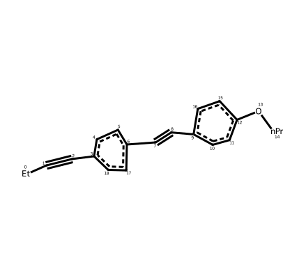 CCC#Cc1ccc(C#Cc2ccc(OCCC)cc2)cc1